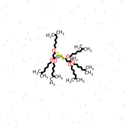 CC(C)CCCCCOC(CC([SiH3])(OCCCCCC(C)C)OCCCCCC(C)C)SSSSC(CC([SiH3])(OCCCCCC(C)C)OCCCCCC(C)C)OCCCCCC(C)C